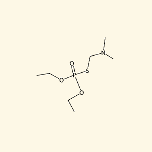 CCOP(=O)(OCC)SCN(C)C